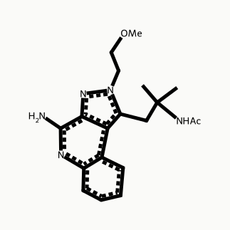 COCCn1nc2c(N)nc3ccccc3c2c1CC(C)(C)NC(C)=O